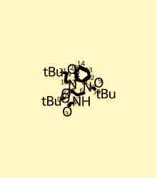 CC(C)(C)OC(=O)NC1CN(C(=O)C(C)(C)C)c2ccccc2N(CC(=O)C(C)(C)C)C1=O